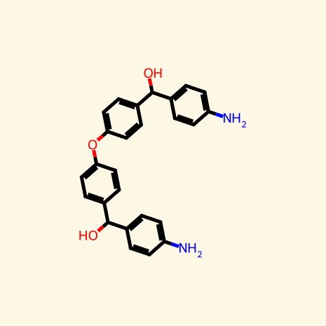 Nc1ccc(C(O)c2ccc(Oc3ccc(C(O)c4ccc(N)cc4)cc3)cc2)cc1